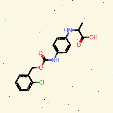 CC(Nc1ccc(NC(=O)OCc2ccccc2Cl)cc1)C(=O)O